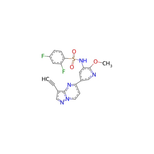 C#Cc1cnn2ccc(-c3cnc(OC)c(NS(=O)(=O)c4ccc(F)cc4F)c3)nc12